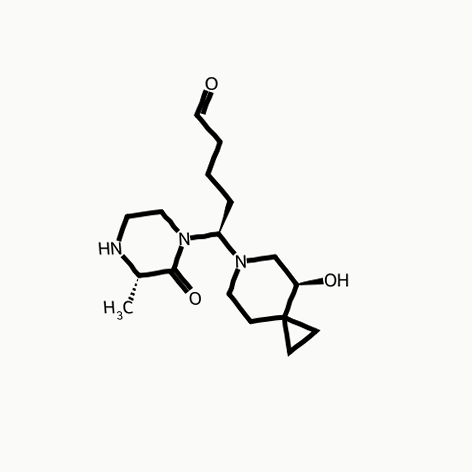 C[C@@H]1NCCN([C@@H](CCCC=O)N2CCC3(CC3)[C@H](O)C2)C1=O